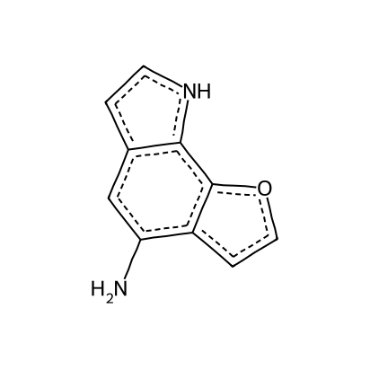 Nc1cc2cc[nH]c2c2occc12